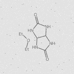 CCOCC.O=C1NC2NC(=O)NC2N1